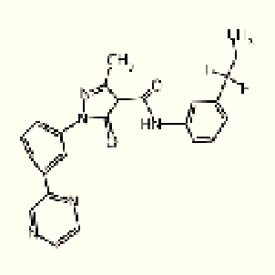 CCC(F)(F)c1cccc(NC(=O)C2C(=O)N(c3cccc(-c4cnccn4)c3)N=C2C)c1